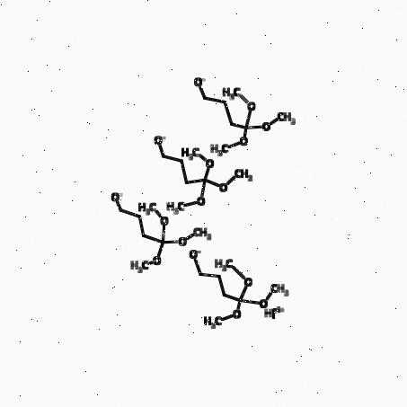 COC(CCC[O-])(OC)OC.COC(CCC[O-])(OC)OC.COC(CCC[O-])(OC)OC.COC(CCC[O-])(OC)OC.[Hf+4]